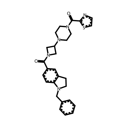 O=C(c1ccc2c(c1)CCN2Cc1ccccc1)N1CC(N2CCN(C(=O)c3nccs3)CC2)C1